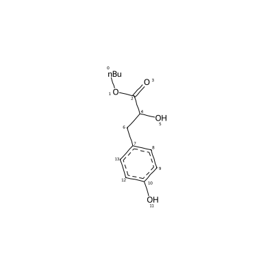 CCCCOC(=O)C(O)Cc1ccc(O)cc1